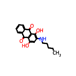 CCCCCNc1cc(O)c2c(c1O)C(=O)c1ccccc1C2=O